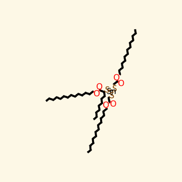 CCCCCCCCCCCCCCOC(=O)C[S][Sn]([S]CC(=O)OCCCCCCCCCCCCCC)[S]C(CCCCCCCC)C(=O)OCCCCCCCCCCCCCC